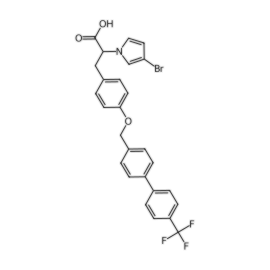 O=C(O)C(Cc1ccc(OCc2ccc(-c3ccc(C(F)(F)F)cc3)cc2)cc1)n1ccc(Br)c1